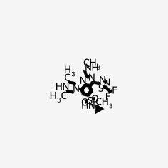 CNCc1nc(-c2nnc(C(F)F)s2)c2cc(S(=O)(=O)NC3(C)CC3)cc(N3C[C@H](C)N[C@@H](C)C3)c2n1